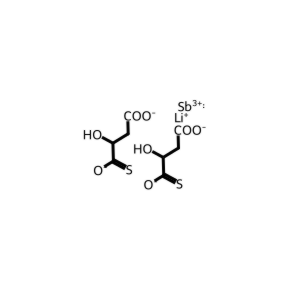 O=C([O-])CC(O)C([O-])=S.O=C([O-])CC(O)C([O-])=S.[Li+].[Sb+3]